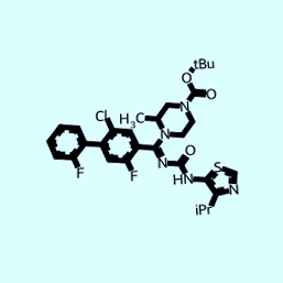 CC(C)c1ncsc1NC(=O)N=C(c1cc(Cl)c(-c2ccccc2F)cc1F)N1CCN(C(=O)OC(C)(C)C)CC1C